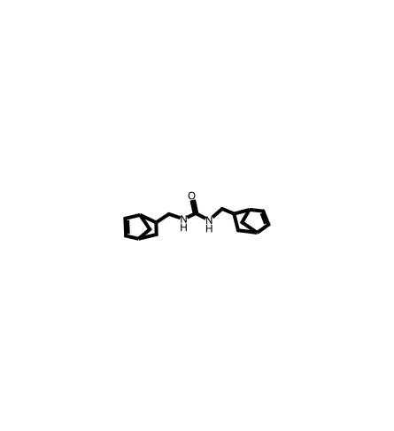 O=C(NCC1CC2C=CC1C2)NCC1CC2C=CC1C2